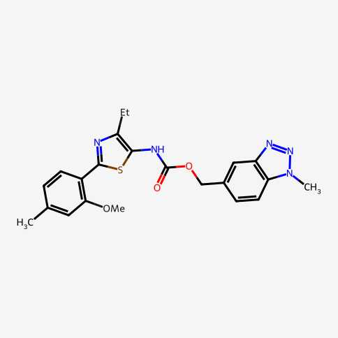 CCc1nc(-c2ccc(C)cc2OC)sc1NC(=O)OCc1ccc2c(c1)nnn2C